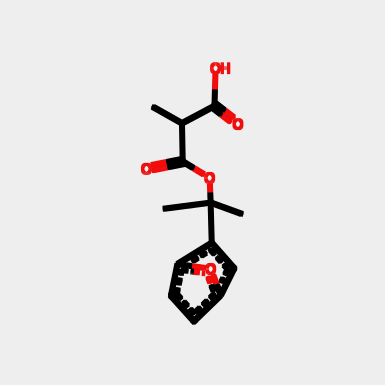 CC(C(=O)O)C(=O)OC(C)(C)c1cc2ccc1o2